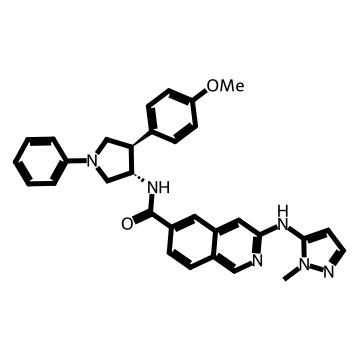 COc1ccc([C@@H]2CN(c3ccccc3)C[C@H]2NC(=O)c2ccc3cnc(Nc4ccnn4C)cc3c2)cc1